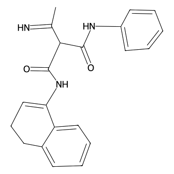 CC(=N)C(C(=O)NC1=CCCc2ccccc21)C(=O)Nc1ccccc1